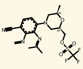 C=Nc1c(C#N)ccc(N2C[C@H](COS(=O)(=O)C(F)(F)F)O[C@H](C)C2)c1N=C(C)C